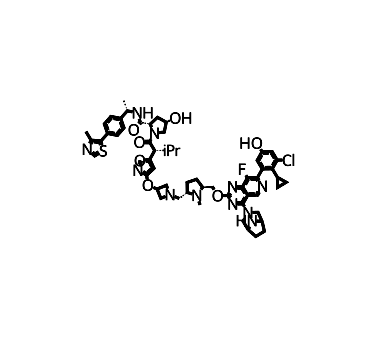 Cc1ncsc1-c1ccc([C@H](C)NC(=O)[C@@H]2C[C@@H](O)CN2C(=O)[C@@H](c2cc(OC3CN(C[C@@H]4CC[C@@H](COc5nc(N6CC7CCC(C6)N7)c6cnc(-c7cc(O)cc(Cl)c7C7CC7)c(F)c6n5)N4C)C3)no2)C(C)C)cc1